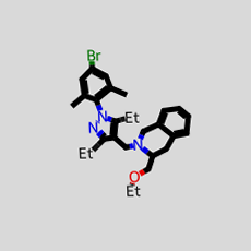 CCOCC1Cc2ccccc2CN1Cc1c(CC)nn(-c2c(C)cc(Br)cc2C)c1CC